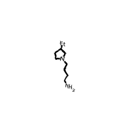 CCC1CCN(CCCCN)C1